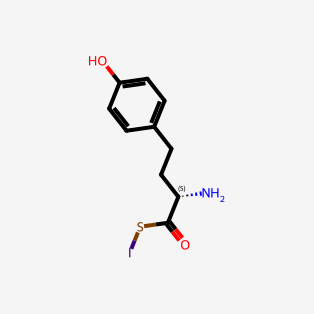 N[C@@H](CCc1ccc(O)cc1)C(=O)SI